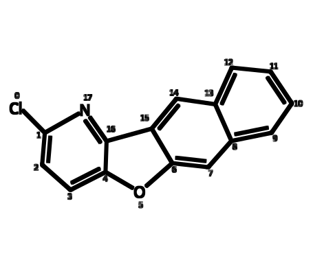 Clc1ccc2oc3cc4ccccc4cc3c2n1